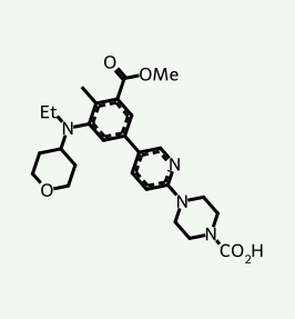 CCN(c1cc(-c2ccc(N3CCN(C(=O)O)CC3)nc2)cc(C(=O)OC)c1C)C1CCOCC1